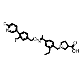 CCc1cc(C(C)=NOCc2ccc(-c3ccc(F)nc3)c(F)c2)ccc1CN1CCC(C(=O)O)C1